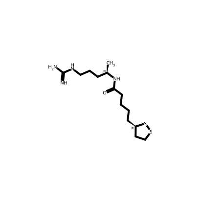 C[C@H](CCCNC(=N)N)NC(=O)CCCC[C@@H]1CCSS1